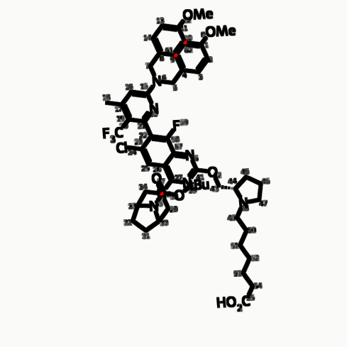 COc1ccc(CN(Cc2ccc(OC)cc2)c2cc(C)c(C(F)(F)F)c(-c3c(Cl)cc4c(N5CC6CCC(C5)N6C(=O)OC(C)(C)C)nc(OC[C@@H]5CCCN5CCCCCCC(=O)O)nc4c3F)n2)cc1